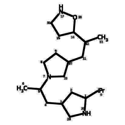 CC(C)C1CC(CC(C)N2CCC(CC(C)C3CCNO3)C2)CN1